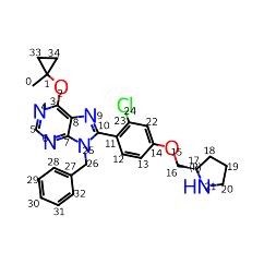 CC1(Oc2ncnc3c2nc(-c2ccc(OC[C@H]4CCCN4)cc2Cl)n3Cc2ccccc2)CC1